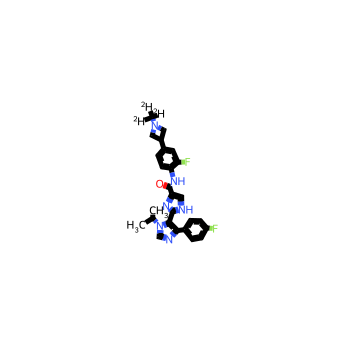 [2H]C([2H])([2H])N1CC(c2ccc(NC(=O)c3c[nH]c(-c4c(-c5ccc(F)cc5)ncn4C(C)C)n3)c(F)c2)C1